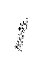 CCCC1(O)C=CC(C2CCC(COc3ccc(OCC)c(F)c3F)CC2)CC1